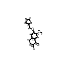 COc1cc2c(cc1OCc1cscn1)CCC(C)C2C